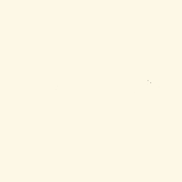 CC=CC(N)=O.CCC[Si](OCC)(OCC)OCC